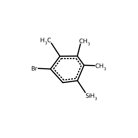 Cc1c([SiH3])cc(Br)c(C)c1C